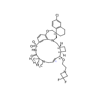 CN1C/C=C/[C@H](OCCN2CC(F)(F)C2)[C@@H]2CC[C@H]2CN2C[C@@]3(CCCc4cc(Cl)ccc43)COc3ccc(cc32)S(=O)(=O)NC(=O)C1(C)C